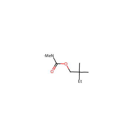 CCC(C)(C)COC(=O)[N]C